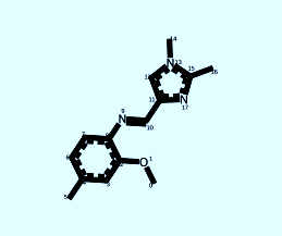 COc1cc(C)ccc1N=Cc1cn(C)c(C)n1